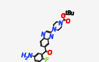 CC(C)(C)OC(=O)N1CCN(c2cnc3ccc(C(=O)c4cc(N)ccc4F)cc3n2)CC1